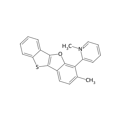 Cc1ccc2c(oc3c4ccccc4sc23)c1-c1cccc[n+]1C